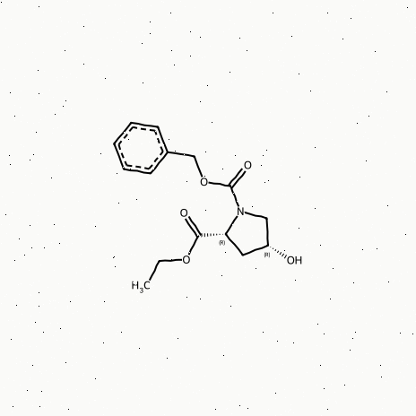 CCOC(=O)[C@H]1C[C@@H](O)CN1C(=O)OCc1ccccc1